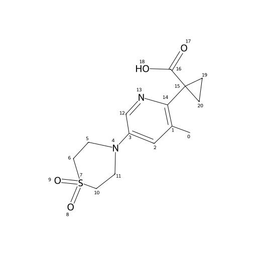 Cc1cc(N2CCS(=O)(=O)CC2)cnc1C1(C(=O)O)CC1